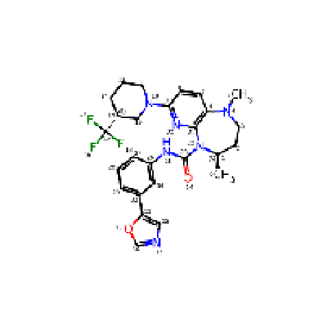 C[C@@H]1CCN(C)c2ccc(N3CCC[C@@H](C(F)(F)F)C3)nc2N1C(=O)Nc1cccc(-c2cnco2)c1